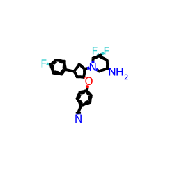 N#Cc1ccc(OC2CC(c3ccc(F)cc3)CC2N2C[C@@H](N)CC(F)(F)C2)cc1